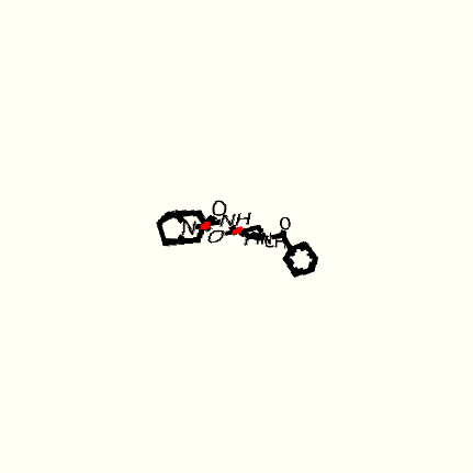 C=CCOC(=O)N1C2CCC1CC(NCCNC(=O)c1ccccc1)C2